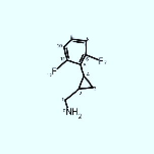 NCC1CC1c1c(F)cccc1F